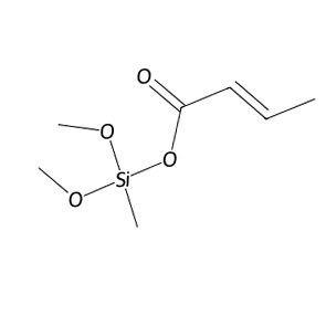 CC=CC(=O)O[Si](C)(OC)OC